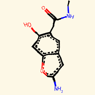 CNC(=O)c1cc2cc(N)oc2cc1O